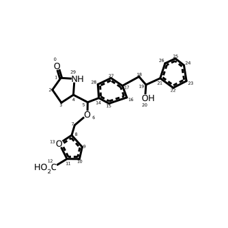 O=C1CCC(C(OCc2ccc(C(=O)O)o2)c2ccc(CC(O)c3ccccc3)cc2)N1